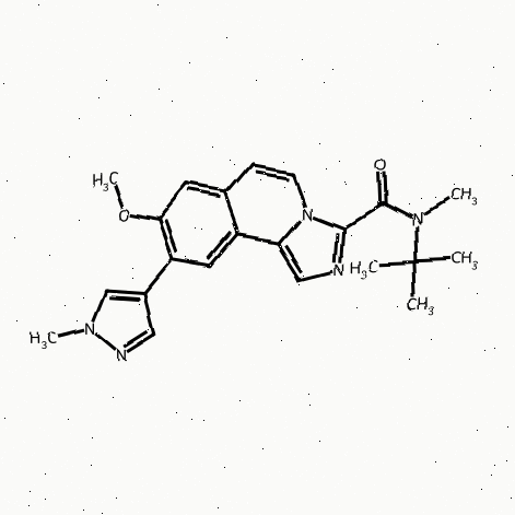 COc1cc2ccn3c(C(=O)N(C)C(C)(C)C)ncc3c2cc1-c1cnn(C)c1